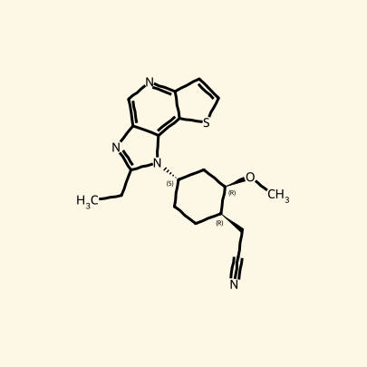 CCc1nc2cnc3ccsc3c2n1[C@H]1CC[C@H](CC#N)[C@H](OC)C1